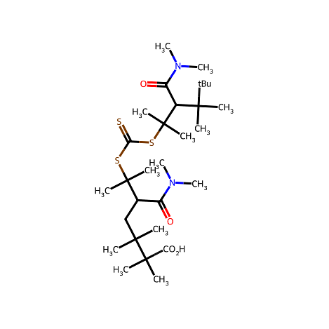 CN(C)C(=O)C(CC(C)(C)C(C)(C)C(=O)O)C(C)(C)SC(=S)SC(C)(C)C(C(=O)N(C)C)C(C)(C)C(C)(C)C